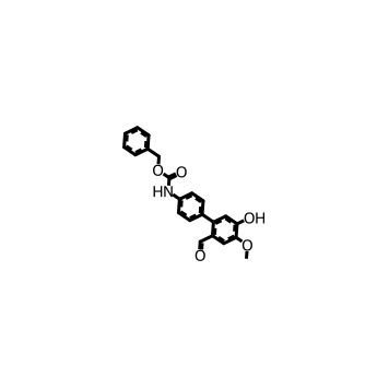 COc1cc(C=O)c(-c2ccc(NC(=O)OCc3ccccc3)cc2)cc1O